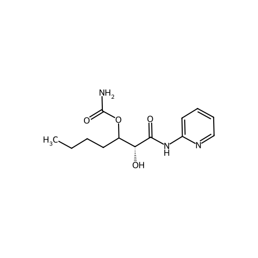 CCCCC(OC(N)=O)[C@@H](O)C(=O)Nc1ccccn1